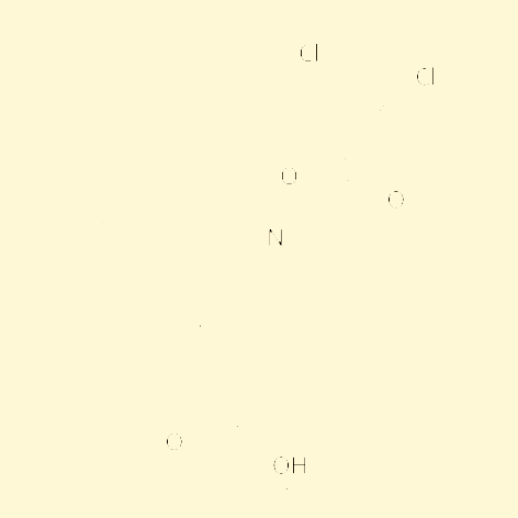 O=C(O)CC1C=CC=CC1=NOC(=O)C(Cl)Cl